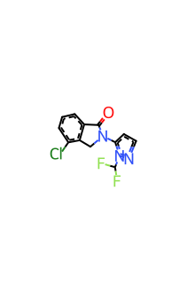 O=C1c2cccc(Cl)c2CN1c1ccnn1C(F)F